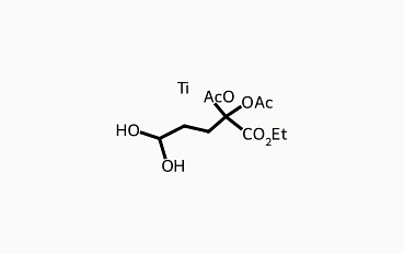 CCOC(=O)C(CCC(O)O)(OC(C)=O)OC(C)=O.[Ti]